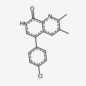 Cc1cc2c(-c3ccc(Cl)cc3)c[nH]c(=O)c2nc1C